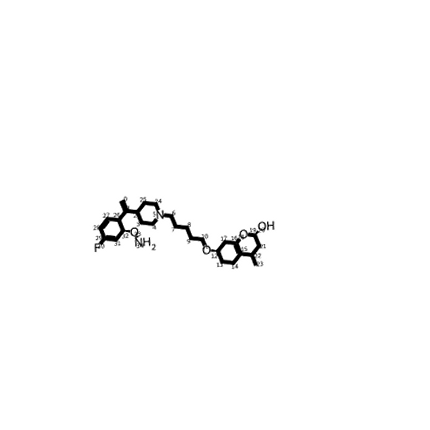 C=C(C1CCN(CCCCCO[C@@H]2CCC3=C(C2)O[C@@H](O)CC3C)CC1)C1C=CC(F)=C[C@@H]1ON